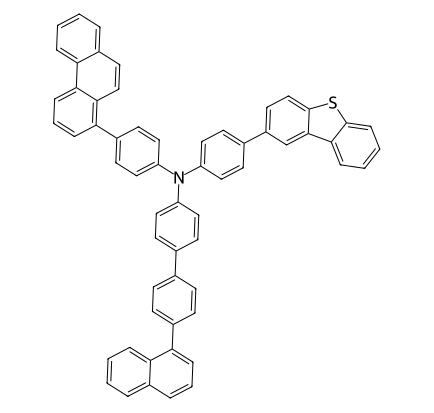 c1ccc2c(-c3ccc(-c4ccc(N(c5ccc(-c6ccc7sc8ccccc8c7c6)cc5)c5ccc(-c6cccc7c6ccc6ccccc67)cc5)cc4)cc3)cccc2c1